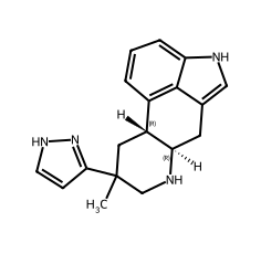 CC1(c2cc[nH]n2)CN[C@@H]2Cc3c[nH]c4cccc(c34)[C@H]2C1